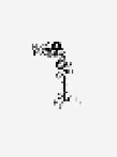 CN(C)C(=O)/C=C/CCCC(=O)Nc1cccn(Cc2nc3cccc(C(O)C(C)(C)C)c3[nH]2)c1=O